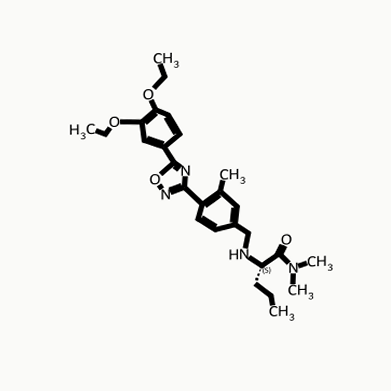 CCC[C@H](NCc1ccc(-c2noc(-c3ccc(OCC)c(OCC)c3)n2)c(C)c1)C(=O)N(C)C